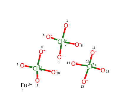 [Eu+3].[O-][Cl+3]([O-])([O-])[O-].[O-][Cl+3]([O-])([O-])[O-].[O-][Cl+3]([O-])([O-])[O-]